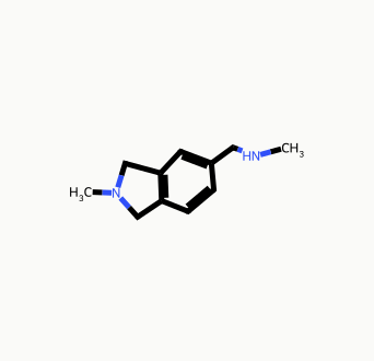 CNCc1ccc2c(c1)CN(C)C2